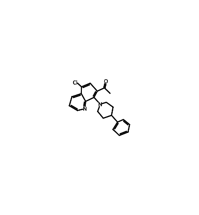 CC(=O)c1cc(Cl)c2cccnc2c1N1CCC(c2ccccc2)CC1